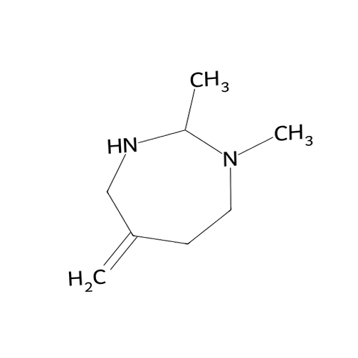 C=C1CCN(C)C(C)NC1